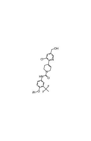 CC(C)Oc1ccc(NC(=O)N2CC=C(c3ncc(CO)cc3Cl)CC2)cc1C(C)(F)F